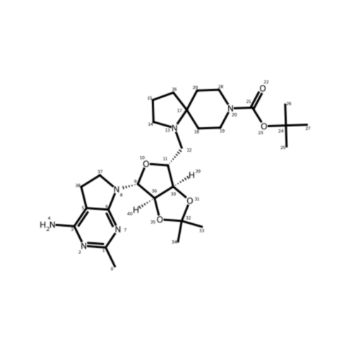 Cc1nc(N)c2c(n1)N([C@@H]1O[C@H](CN3CCCC34CCN(C(=O)OC(C)(C)C)CC4)[C@H]3OC(C)(C)O[C@H]31)CC2